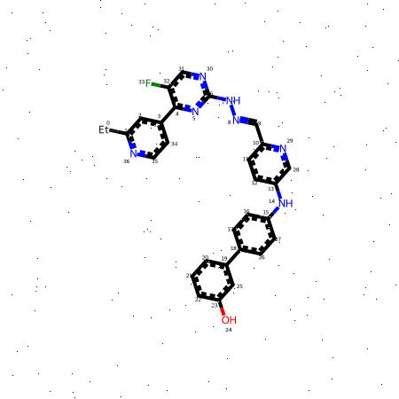 CCc1cc(-c2nc(N/N=C/c3ccc(Nc4ccc(-c5cccc(O)c5)cc4)cn3)ncc2F)ccn1